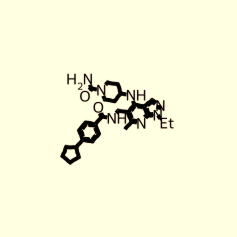 CCn1ncc2c(NC3CCN(C(N)=O)CC3)c(CNC(=O)c3ccc(C4CCCC4)cc3)c(C)nc21